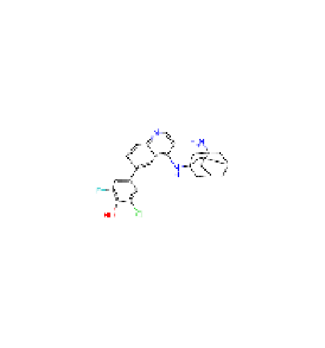 NC12CC3CC(C1)CC(Nc1[c]cnc4ccc(-c5cc(F)c(O)c(Cl)c5)cc14)(C3)C2